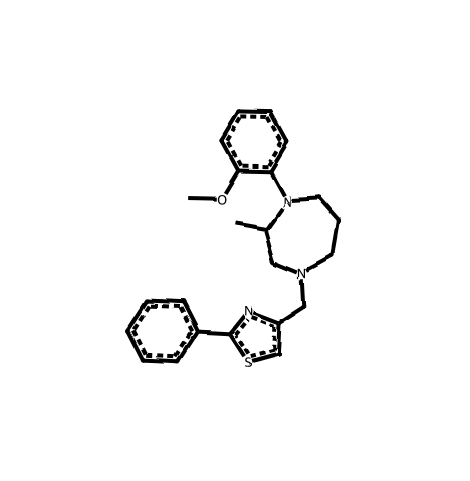 COc1ccccc1N1CCCN(Cc2csc(-c3ccccc3)n2)CC1C